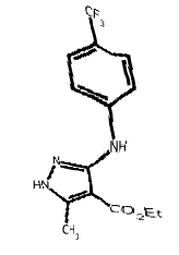 CCOC(=O)c1c(Nc2ccc(C(F)(F)F)cc2)n[nH]c1C